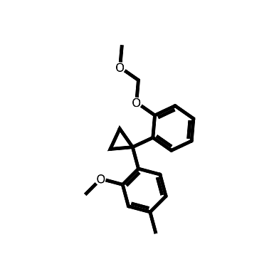 COCOc1ccccc1C1(c2ccc(C)cc2OC)CC1